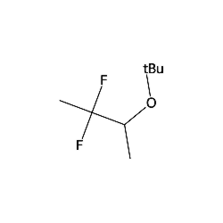 CC(OC(C)(C)C)C(C)(F)F